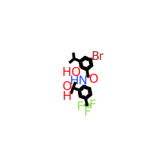 CC(C)c1cc(Br)cc(C(=O)Nc2ccc(C(F)(F)F)cc2C(C)(C)O)c1O